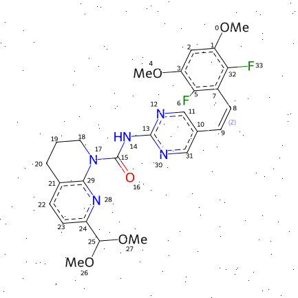 COc1cc(OC)c(F)c(/C=C\c2cnc(NC(=O)N3CCCc4ccc(C(OC)OC)nc43)nc2)c1F